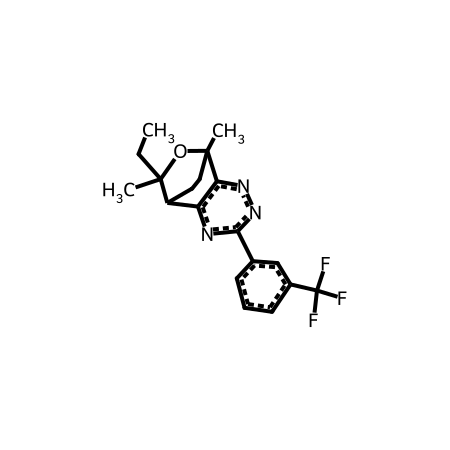 CCC1(C)OC2(C)CCC1c1nc(-c3cccc(C(F)(F)F)c3)nnc12